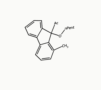 CCCCCOC1(C(C)=O)c2ccccc2-c2cccc(C)c21